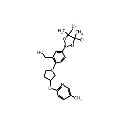 Cc1ccc(OC2CCN(c3ccc(B4OC(C)(C)C(C)(C)O4)cc3CO)C2)nc1